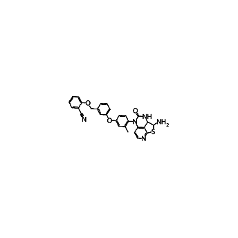 Cc1cc(Oc2cccc(COc3ccccc3C#N)c2)ccc1N1C(=O)NC2c3c1ccnc3SC2N